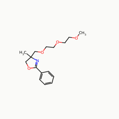 COCCOCCOCC1(C)COC(c2ccccc2)=N1